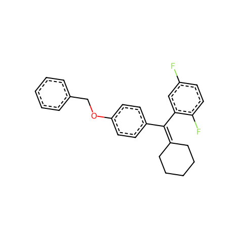 Fc1ccc(F)c(C(=C2CCCCC2)c2ccc(OCc3ccccc3)cc2)c1